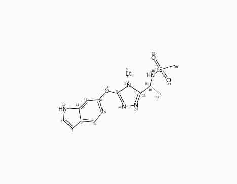 CCn1c(Oc2ccc3cc[nH]c3c2)nnc1[C@@H](C)NS(C)(=O)=O